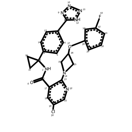 O=C(NC1(c2ccc(-c3nnn[nH]3)cc2)CC1)c1cc(Cl)cnc1N1CC(Oc2cccc(F)c2)C1